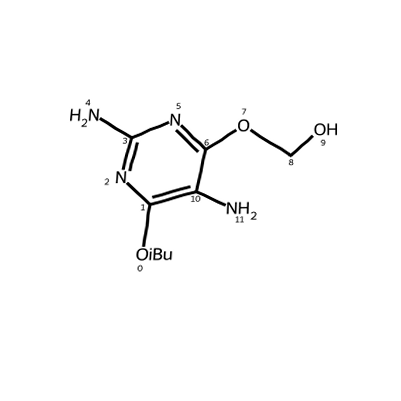 CC(C)COc1nc(N)nc(OCO)c1N